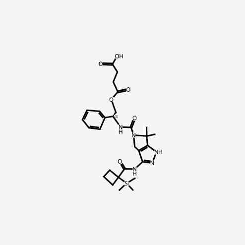 CC1(C)c2[nH]nc(NC(=O)C3([Si](C)(C)C)CCC3)c2CN1C(=O)N[C@H](COC(=O)CCC(=O)O)c1ccccc1